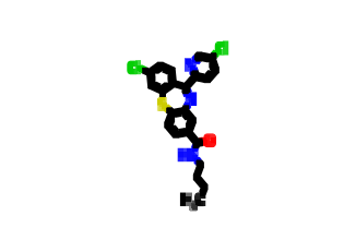 CCCCNC(=O)c1ccc2c(c1)N=C(c1ccc(Cl)cn1)c1ccc(Cl)cc1S2